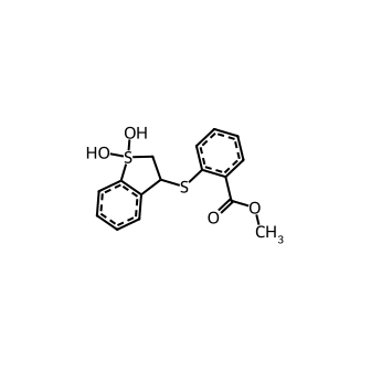 COC(=O)c1ccccc1SC1CS(O)(O)c2ccccc21